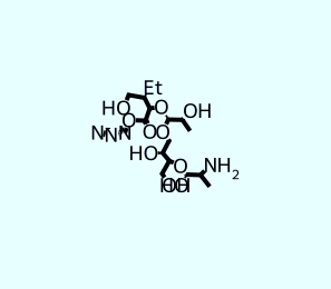 CC[C@@H](CO)C(O[C@@H](OC[C@H](O)C(CO)O[C@@H](O)C(C)N)C(C)O)C(=O)ON=[N+]=[N-]